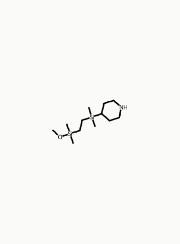 CO[Si](C)(C)CC[Si](C)(C)C1CCNCC1